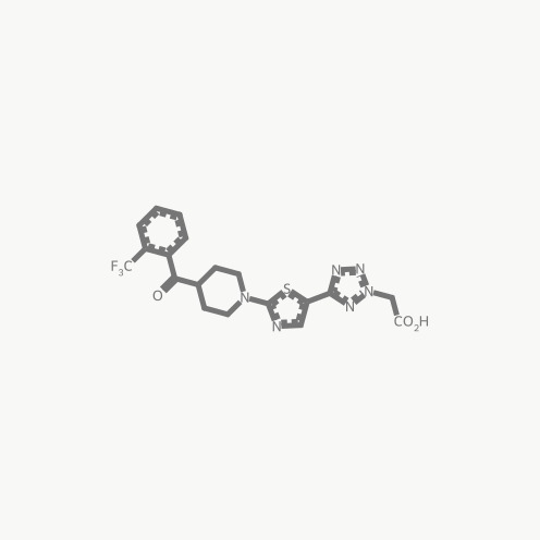 O=C(O)Cn1nnc(-c2cnc(N3CCC(C(=O)c4ccccc4C(F)(F)F)CC3)s2)n1